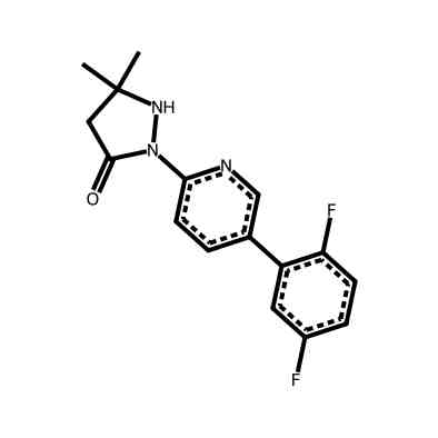 CC1(C)CC(=O)N(c2ccc(-c3cc(F)ccc3F)cn2)N1